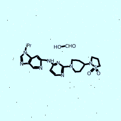 CC(C)n1cnc2cnc(Nc3ccnc(N4CCC(N5CCCS5(=O)=O)CC4)n3)cc21.O=CO